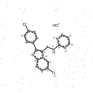 Cl.Clc1ccc(-c2nc3ccc(Cl)cn3c2CNc2ncccn2)cc1